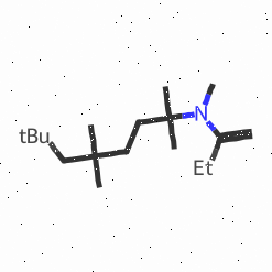 C=C(CC)N(C)C(C)(C)CCC(C)(C)CC(C)(C)C